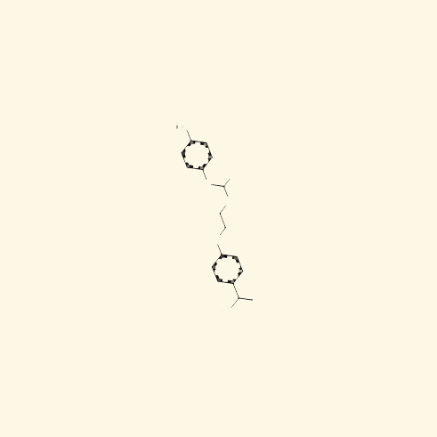 CCCC(CC)c1ccc(OCCOC(C)Oc2ccc(C(C)CC)cc2)cc1